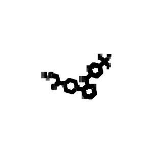 C=CC(=O)N1CCN(c2nccnc2Nc2ccc(C(F)(F)F)cn2)CC1